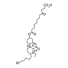 CC(C)CCC[C@@H](C)[C@H]1CC[C@H]2[C@@H]3C(=O)C=C4CC(OC(=O)CCCCCCCC(=O)CCC(=O)O)CC[C@]4(C)[C@H]3CC[C@]12C